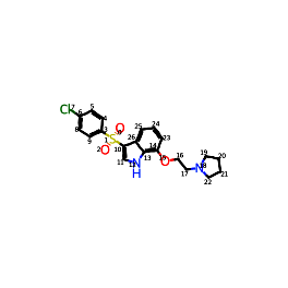 O=S(=O)(c1ccc(Cl)cc1)c1c[nH]c2c(OCCN3CCCC3)cccc12